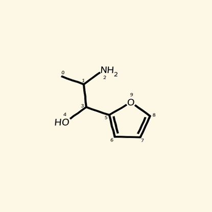 CC(N)C(O)c1cc[c]o1